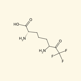 NC(CCC[C@H](N)C(=O)O)C(=O)C(F)(F)F